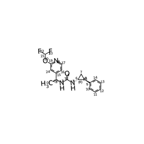 C[C@H](NC(=O)N[C@@H]1C[C@H]1c1ccccc1)c1ccnc(OC(F)F)c1